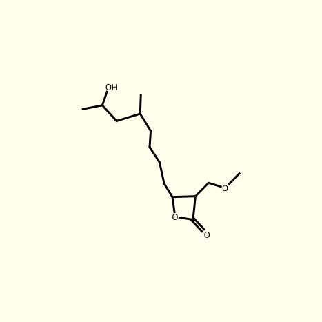 COCC1C(=O)OC1CCCCC(C)CC(C)O